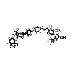 CC(C)(C)[C@H](NC(=O)CCCN1CCN(c2ccc(C(=O)N[C@H]3C(C)(C)[C@H](Oc4ccc(C#N)c(Cl)c4)C3(C)C)cn2)CC1)C(=O)N1C[C@H](O)C[C@H]1C(N)=O